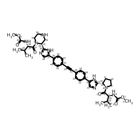 COC(=O)N[C@H](C(=O)N1CCC[C@H]1c1ncc(-c2ccc(C#Cc3ccc(-c4cnc([C@@H]5CNCCN5C(=O)[C@@H](NC(=O)OC)C(C)C)[nH]4)cc3)cc2)[nH]1)C(C)C